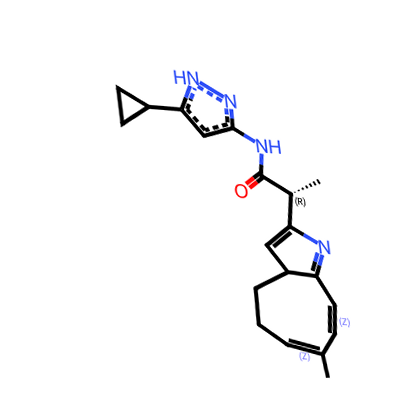 CC1=C/CCC2C=C([C@@H](C)C(=O)Nc3cc(C4CC4)[nH]n3)N=C2/C=C\1